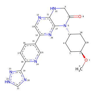 CO[C@H]1CC[C@H](N2C(=O)CNc3ncc(-c4ccc(-c5nc[nH]n5)nc4)nc32)CC1